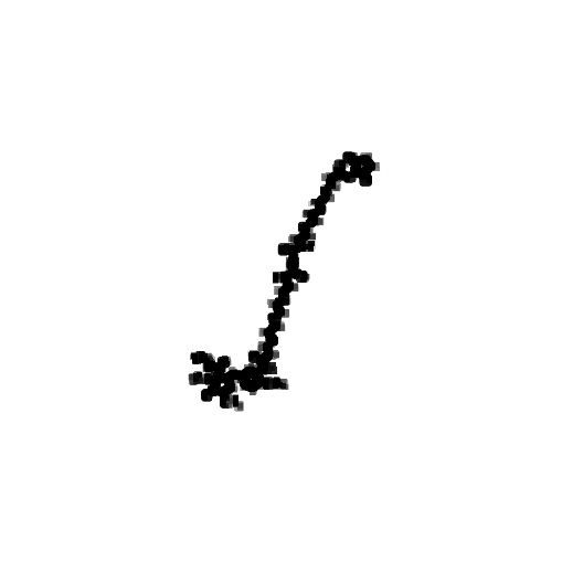 CC(=O)Oc1ccc(CC(CC(C)C(=O)OC(C)(C)C)NC(=O)OC(C)(C)C)cc1NC(=O)CCOCCOCCOCCNC(=O)C#CC(=O)NCCOCCOCCOCCC(=O)ON1C(=O)CCC1=O